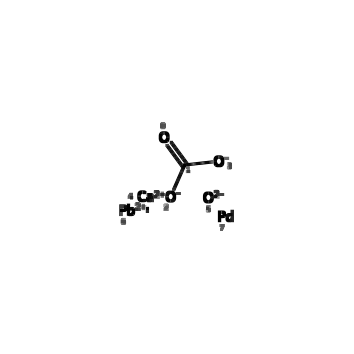 O=C([O-])[O-].[Ca+2].[O-2].[Pb+2].[Pd]